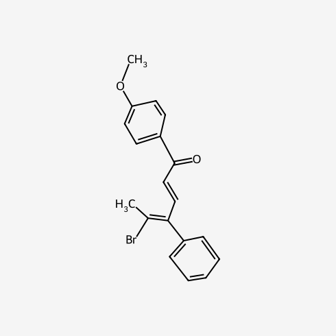 COc1ccc(C(=O)C=CC(=C(C)Br)c2ccccc2)cc1